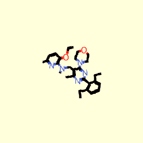 CCOc1ccc(C)nc1N(C)Cc1c(C)nc(-c2c(CC)cccc2CC)nc1N1CCOCC1